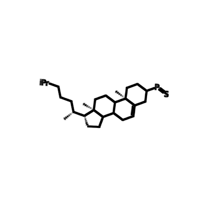 CC(C)CCC[C@@H](C)[C@H]1CCC2C3CC=C4CC(P=S)CC[C@]4(C)C3CC[C@@]21C